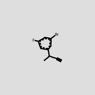 C#C[C](C)c1cc(F)cc(Br)c1